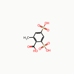 Cc1cc(S(=O)(=O)O)cc(S(=O)(=O)O)c1C(=O)O